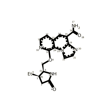 CC[C@@H]1CC(=O)N[C@@H]1COc1nccc2cc(C(N)=O)c3nccn3c12